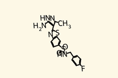 Cc1n[nH]c(N)c1-c1nc2ccc(S(=O)(=O)NCc3ccc(F)cc3)cc2s1